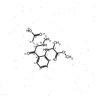 COC(=O)C(C)Nc1ccccc1C(=O)[C@H](CC(=O)O)N[SiH3]